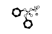 O=[SH](=O)OP(=O)(Oc1ccccc1)Oc1ccccc1